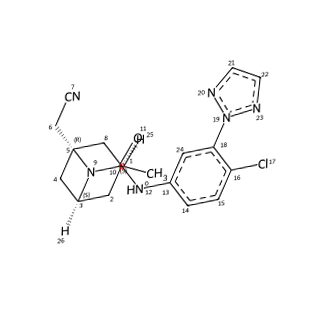 C[C@H]1C[C@H]2C[C@@](CC#N)(C1)N2C(=O)Nc1ccc(Cl)c(-n2nccn2)c1